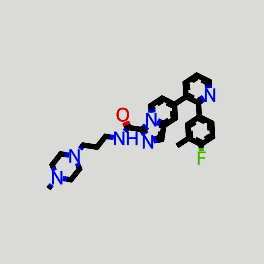 Cc1cc(-c2ncccc2-c2ccn3c(C(=O)NCCCN4CCN(C)CC4)ncc3c2)ccc1F